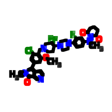 COc1cc(-c2cn(C)c(=O)c3cnccc23)cc(Cl)c1CN1CCC(N2CCN(c3ccc(N(C)N4C(=O)CCCC4=O)cc3F)CC2)C(F)(F)C1